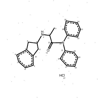 CC(NC1Cc2ccccc2C1)C(=O)N(c1ccccc1)c1ccccc1.Cl